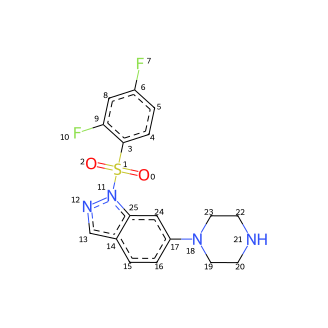 O=S(=O)(c1ccc(F)cc1F)n1ncc2ccc(N3CCNCC3)cc21